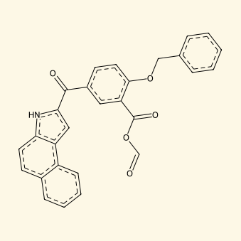 O=COC(=O)c1cc(C(=O)c2cc3c(ccc4ccccc43)[nH]2)ccc1OCc1ccccc1